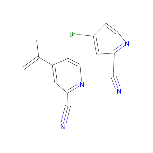 C=C(C)c1ccnc(C#N)c1.N#Cc1cc(Br)ccn1